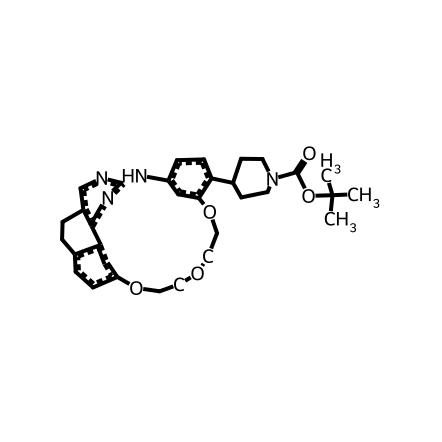 CC(C)(C)OC(=O)N1CCC(c2ccc3cc2OCCOCCOc2ccc4c(c2)-c2nc(ncc2CC4)N3)CC1